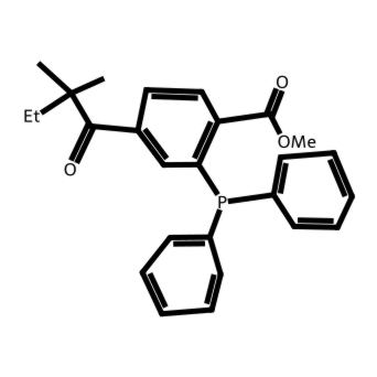 CCC(C)(C)C(=O)c1ccc(C(=O)OC)c(P(c2ccccc2)c2ccccc2)c1